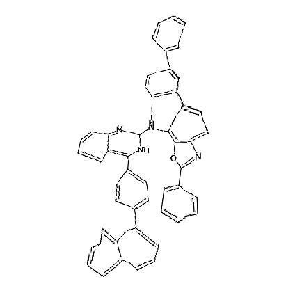 c1ccc(-c2ccc3c(c2)c2ccc4nc(-c5ccccc5)oc4c2n3C2N=c3ccccc3=C(c3ccc(-c4cccc5ccccc45)cc3)N2)cc1